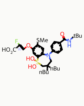 CCCCC1(CCCC)CN(c2ccc(C(=O)NC(C)(C)C)cc2)c2cc(SC)c(O/C=C(\F)C(=O)O)cc2S(O)(O)C1